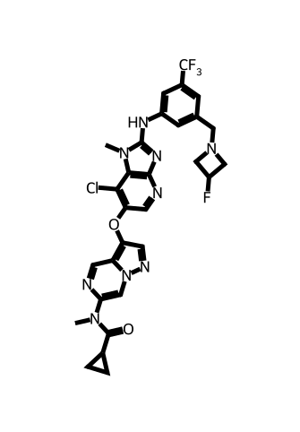 CN(C(=O)C1CC1)c1cn2ncc(Oc3cnc4nc(Nc5cc(CN6CC(F)C6)cc(C(F)(F)F)c5)n(C)c4c3Cl)c2cn1